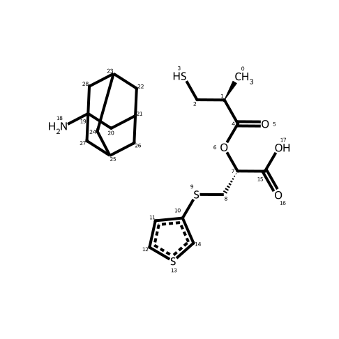 C[C@H](CS)C(=O)O[C@@H](CSc1ccsc1)C(=O)O.NC12CC3CC(CC(C3)C1)C2